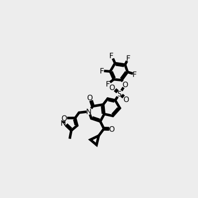 Cc1cc(Cn2cc(C(=O)C3CC3)c3ccc(S(=O)(=O)Oc4c(F)c(F)c(F)c(F)c4F)cc3c2=O)on1